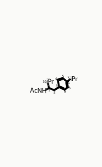 CC(=O)NC(Cc1ccc(C(C)C)cc1)C(C)C